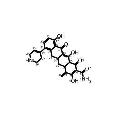 C=C1C(O)=C(C(N)=O)C(=O)C2C(O)=C3C(=O)c4c(O)ccc(C5=CCNCC5)c4CC3CC12